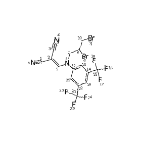 N#CC(C#N)=CN(CC(Br)CBr)c1cc(C(F)(F)F)cc(C(F)(F)F)c1